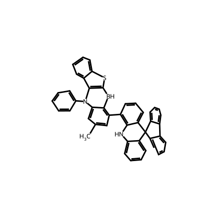 Cc1cc(-c2cccc3c2Nc2ccccc2C32c3ccccc3-c3ccccc32)c2c(c1)N(c1ccccc1)c1c(sc3ccccc13)B2